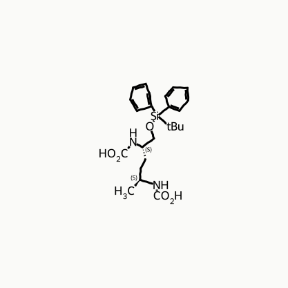 C[C@@H](CC[C@@H](CO[Si](c1ccccc1)(c1ccccc1)C(C)(C)C)NC(=O)O)NC(=O)O